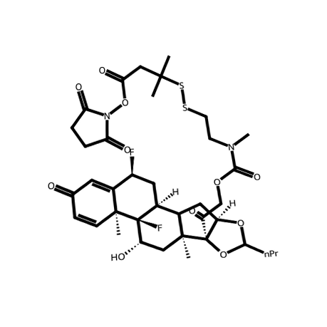 CCCC1O[C@@H]2CC3[C@@H]4C[C@H](F)C5=CC(=O)C=C[C@]5(C)[C@@]4(F)[C@@H](O)C[C@]3(C)[C@]2(C(=O)COC(=O)N(C)CCSSC(C)(C)CC(=O)ON2C(=O)CCC2=O)O1